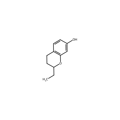 CCC1CCc2ccc(O)cc2O1